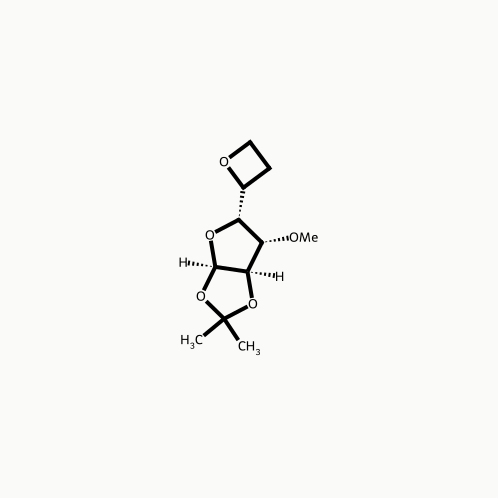 CO[C@@H]1[C@H]2OC(C)(C)O[C@H]2O[C@@H]1C1CCO1